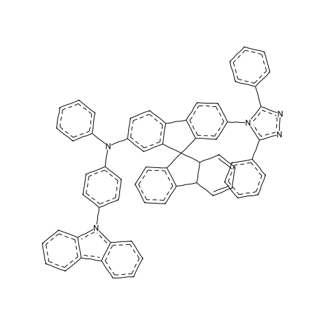 C1=CC2c3ccccc3C3(c4cc(N(c5ccccc5)c5ccc(-n6c7ccccc7c7ccccc76)cc5)ccc4-c4ccc(-n5c(-c6ccccc6)nnc5-c5ccccc5)cc43)C2C=C1